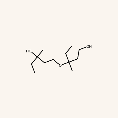 CCC(C)(O)CCOC(C)(CC)CCO